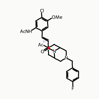 COc1cc(/C=C/C(=O)N2C3CN(Cc4ccc(F)cc4)CC2CN(C(C)=O)C3)c(NC(C)=O)cc1Cl